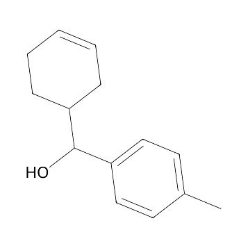 Cc1ccc(C(O)C2CC=CCC2)cc1